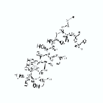 CCCCN(CC(=O)Nc1cc(N(C)C)c2c(c1O)C(=O)C1=C(O)[C@]3(O)C(=O)C(C(N)=O)=C(O)[C@@H](N(C)C)C3CC1C2)C(=O)OC(C)OC(C)=O